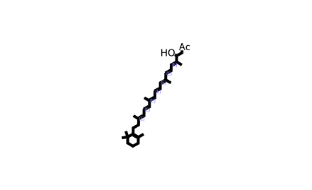 CC(=O)CC(O)/C(C)=C/C=C/C(C)=C/C=C/C=C(C)/C=C/C=C(\C)CCC1=C(C)CCCC1(C)C